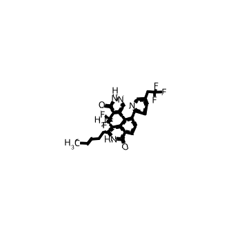 CCCCCc1[nH]c(=O)c2ccc(-c3ccc(CC(F)(F)F)cn3)c(-c3cn[nH]c(=O)c3C(F)(F)F)c2c1N